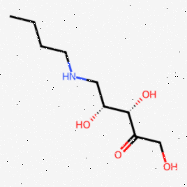 CCCCNC[C@@H](O)[C@H](O)C(=O)CO